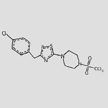 O=S(=O)(N1CCN(c2nc(Cc3ccc(Cl)cc3)ns2)CC1)C(Cl)(Cl)Cl